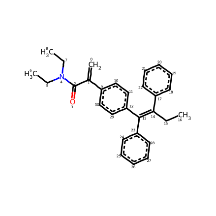 C=C(C(=O)N(CC)CC)c1ccc(C(=C(CC)c2ccccc2)c2ccccc2)cc1